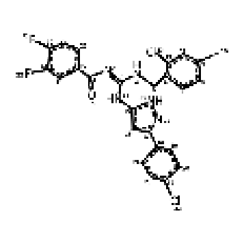 O=C(/N=C(/NCc1ccc(F)cc1Cl)Nc1cc(-c2ccc(Cl)cc2)n[nH]1)c1ccc(F)c(F)c1